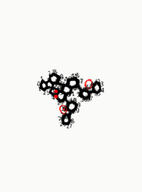 c1ccc2c(c1)-c1cccc(-c3c4cccc(-c5cccc6c5oc5ccccc56)c4cc4c(-c5cccc6c5oc5ccccc56)cccc34)c1C21CCCC1